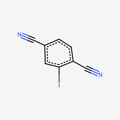 N#Cc1ccc(C#N)c(I)c1